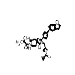 CC(C)C(O)N1CCC2(CC1)N=C(c1ccc(-c3ccc4occc4c3)cc1)N(CC1CN(C(=O)C3CC3)C1)C2=O